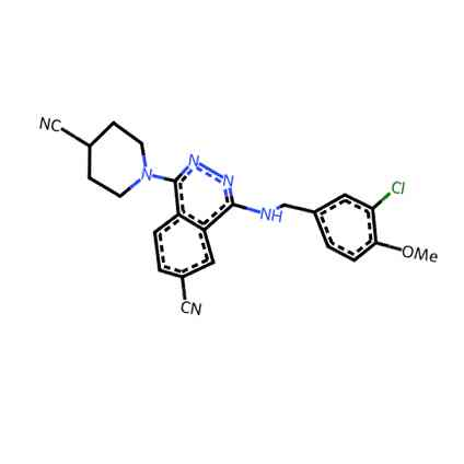 COc1ccc(CNc2nnc(N3CCC(C#N)CC3)c3ccc(C#N)cc23)cc1Cl